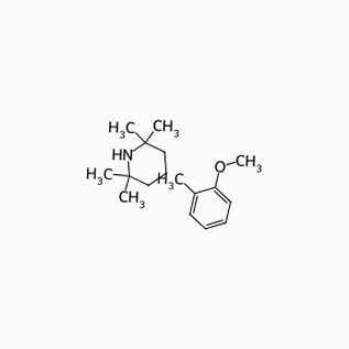 CC1(C)CCCC(C)(C)N1.COc1ccccc1C